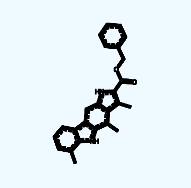 Cc1cccc2c1[nH]c1c(C)c3c(C)c(C(=O)OCc4ccccc4)[nH]c3cc12